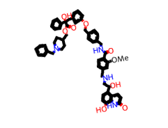 COc1cc(CNC[C@H](O)c2ccc(O)c3[nH]c(=O)ccc23)ccc1C(=O)NCc1ccc(COc2cccc(C(O)(C(=O)OCC3CCN(Cc4ccccc4)CC3)c3ccccc3)c2)cc1